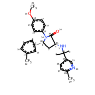 CC(C)(N[C@@H]1C[C@H](c2cccc(C(F)(F)F)c2)N(c2ccc(OC(F)(F)F)cc2)C1=O)c1ccc(C(F)(F)F)nc1